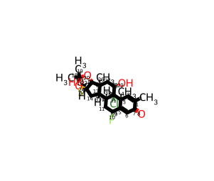 CC1=C[C@@]2(C)C(=CC1=O)[C@@H](F)C[C@H]1[C@@H]3C[C@H]4OC(C)(C)O[C@@]4(C(O)=S)[C@@]3(C)C[C@H](O)[C@@]12Cl